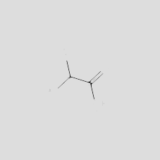 CC(=O)[C](C(C)=O)C(=O)C=O